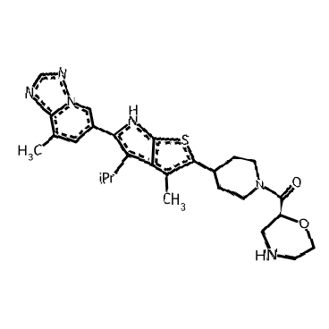 Cc1c(C2CCN(C(=O)[C@@H]3CNCCO3)CC2)sc2[nH]c(-c3cc(C)c4ncnn4c3)c(C(C)C)c12